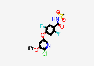 CC(C)Oc1cc(Oc2cc(F)c(C(=O)NS(C)(=O)=O)cc2F)cnc1Cl